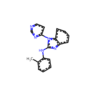 Cc1ccccc1Nc1nc2ccccc2n1-c1ccncn1